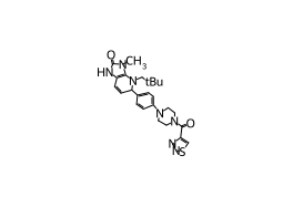 Cn1c2c([nH]c1=O)C=CC(c1ccc(N3CCN(C(=O)c4csnn4)CC3)cc1)N2CC(C)(C)C